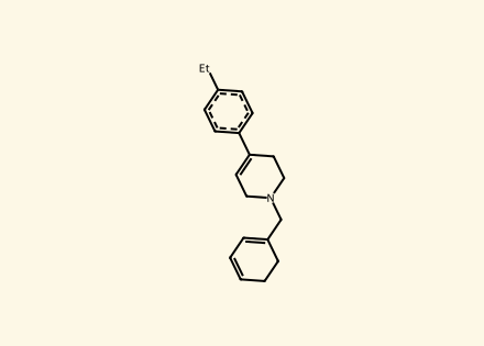 CCc1ccc(C2=CCN(CC3=CC=CCC3)CC2)cc1